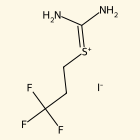 NC(N)=[S+]CCC(F)(F)F.[I-]